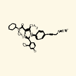 Cc1c(C(=O)N(C)C2CCCCC2)nc(-c2ccc(Cl)cc2Cl)n1-c1ccc(C#CCN=[N+]=[N-])cc1